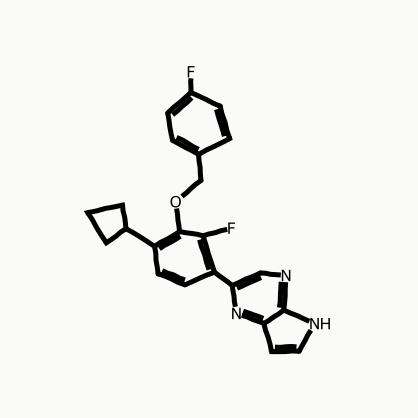 Fc1ccc(COc2c(C3CCC3)ccc(-c3cnc4[nH]ccc4n3)c2F)cc1